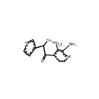 CC(C(=O)c1ccnc(N)c1C(=O)O)c1ccsc1